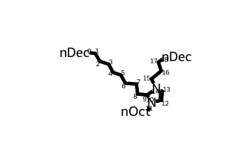 CCCCCCCCCCCCCCCCCCC1N(CCCCCCCC)C=CN1CCCCCCCCCCCCC